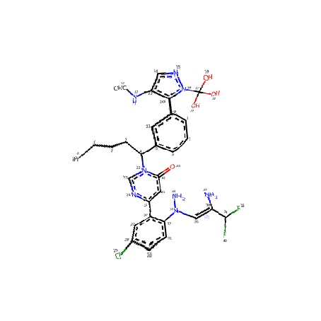 CC(C)CCCC(c1cccc(-c2c(NC=O)cnn2C(O)(O)O)c1)n1cnc(-c2cc(Cl)ccc2N(N)/C=C(\N)C(F)F)cc1=O